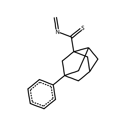 C=NC(=S)C12CC3CC1CC(c1ccccc1)(C3)C2